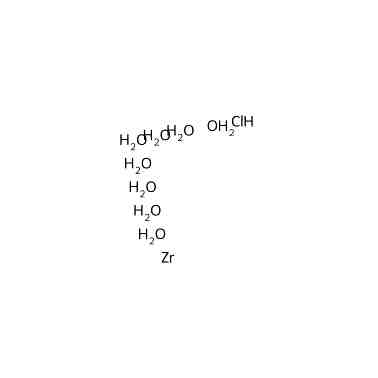 Cl.O.O.O.O.O.O.O.O.[Zr]